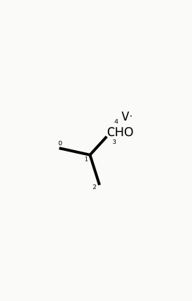 CC(C)C=O.[V]